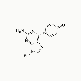 CCn1cnc2c(-n3ccc(=O)cc3)nc(N)nc21